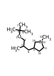 CC(COC(C)(C)C)CC1CCN(C)C1